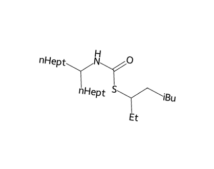 CCCCCCCC(CCCCCCC)NC(=O)SC(CC)CC(C)CC